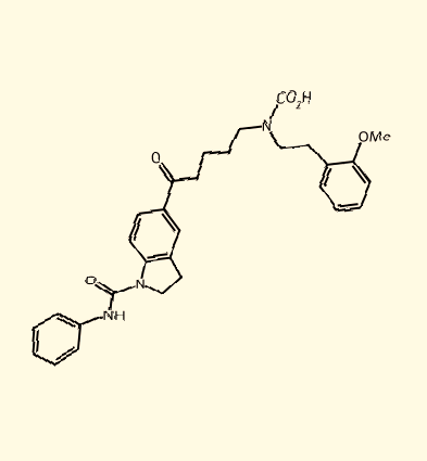 COc1ccccc1CCN(CCCCC(=O)c1ccc2c(c1)CCN2C(=O)Nc1ccccc1)C(=O)O